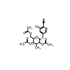 CC(=O)OCC1O[C@H](Sc2cnc(C#N)c(Cl)c2)C(OC(C)=O)C(C)[C@H]1OC(C)=O